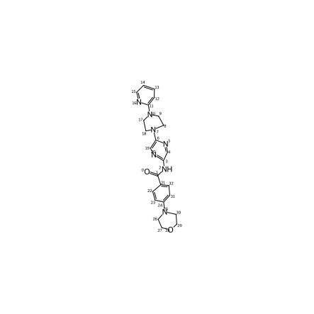 O=C(Nc1cnc(N2CCN(c3ccccn3)CC2)cn1)c1ccc(N2CCOCC2)cc1